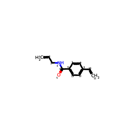 C=CCNC(=O)c1ccc(C=C)cc1